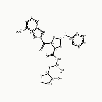 COc1cccc2[nH]c(C(=O)N3C[C@H](Cc4cccnc4)C[C@H]3C(=O)N[C@H](C#N)CC3CCNC3=O)cc12